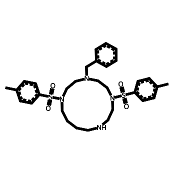 Cc1ccc(S(=O)(=O)N2CCCCNCCN(S(=O)(=O)c3ccc(C)cc3)CCN(Cc3ccccc3)CC2)cc1